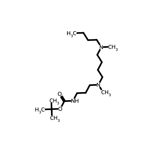 CCCCN(C)CCCCN(C)CCCNC(=O)OC(C)(C)C